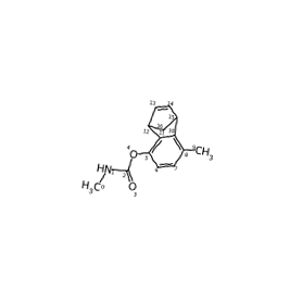 CNC(=O)Oc1ccc(C)c2c1C1C=CC2C1